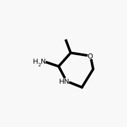 CC1OCCNC1N